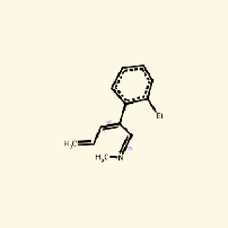 C=C/C=C(\C=N/C)c1ccccc1CC